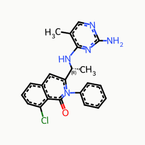 Cc1cnc(N)nc1N[C@H](C)c1cc2cccc(Cl)c2c(=O)n1-c1ccccc1